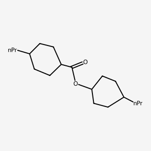 CCCC1CCC(OC(=O)C2CCC(CCC)CC2)CC1